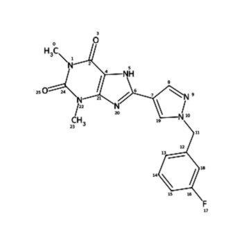 Cn1c(=O)c2[nH]c(-c3cnn(Cc4cccc(F)c4)c3)nc2n(C)c1=O